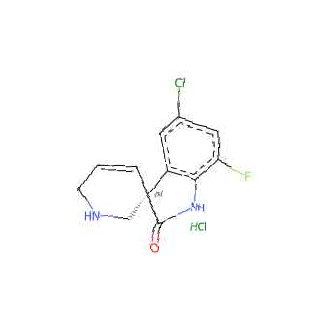 Cl.O=C1Nc2c(F)cc(Cl)cc2[C@]12C=CCNC2